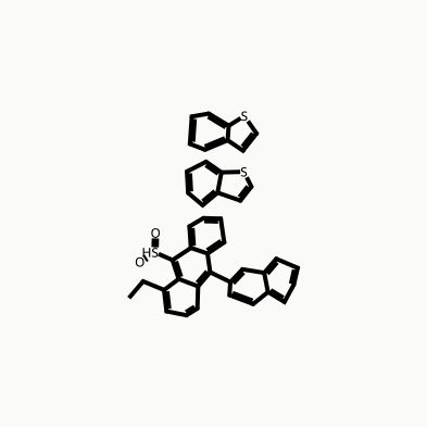 CCc1cccc2c(-c3ccc4ccccc4c3)c3ccccc3c([SH](=O)=O)c12.c1ccc2sccc2c1.c1ccc2sccc2c1